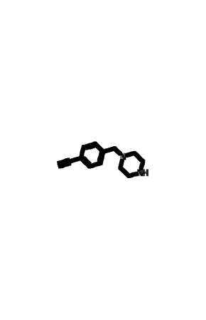 C#Cc1ccc(CN2CCNCC2)cc1